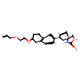 C=CCOCCOC1CCc2cc([C@H]3CC[C@]4(COC(=O)N4)C3)ccc2C1